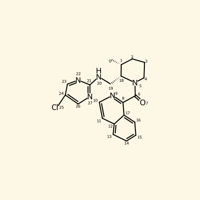 C[C@@H]1CCCN(C(=O)c2nccc3ccccc23)[C@@H]1CNc1ncc(Cl)cn1